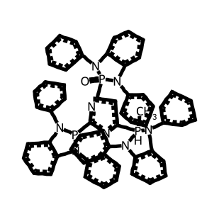 C[PH]1(c2cc(P3(=O)N(c4ccccc4)c4ccccc4N3c3ccccc3)nc(P3N(c4ccccc4)c4ccccc4N3c3ccccc3)n2)N(c2ccccc2)c2ccccc2N1c1ccccc1